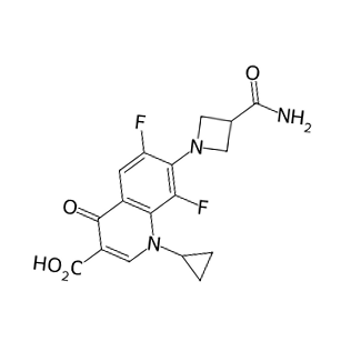 NC(=O)C1CN(c2c(F)cc3c(=O)c(C(=O)O)cn(C4CC4)c3c2F)C1